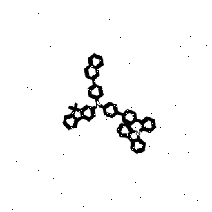 CC1(C)c2ccccc2-c2ccc(N(c3ccc(-c4ccc(-c5ccccc5-n5c6ccccc6c6ccccc65)cc4)cc3)c3ccc(-c4ccc5ccccc5c4)cc3)cc21